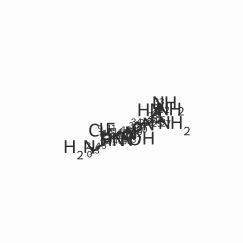 C[C@H](N)CCCc1cc(Cl)c(F)c(-c2cc3cn(-c4ccc(CN[C@@H](CCN)CCNC(=N)N)cc4)c(=O)nc3[nH]2)c1